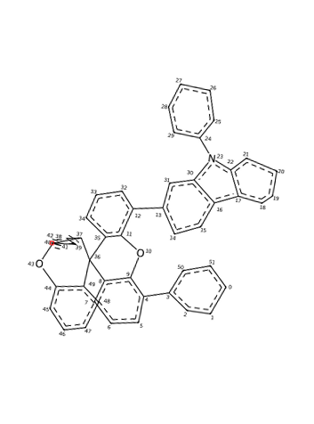 c1ccc(-c2cccc3c2Oc2c(-c4ccc5c6ccccc6n(-c6ccccc6)c5c4)cccc2C32c3ccccc3Oc3ccccc32)cc1